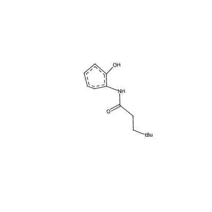 CC(C)(C)CCC(=O)Nc1ccccc1O